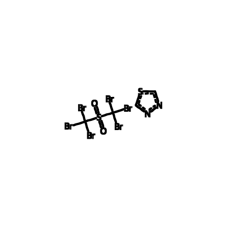 O=S(=O)(C(Br)(Br)Br)C(Br)(Br)Br.c1nncs1